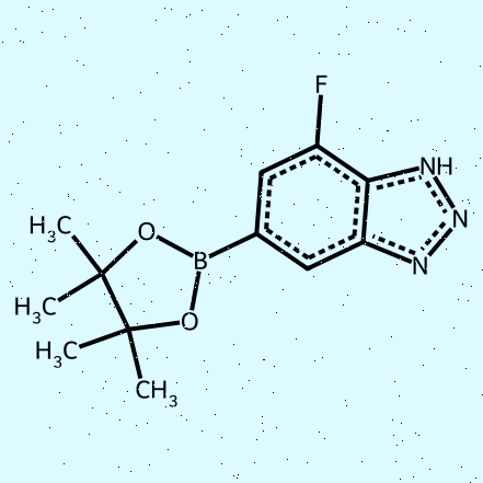 CC1(C)OB(c2cc(F)c3[nH]nnc3c2)OC1(C)C